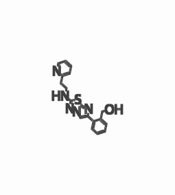 OCc1ccccc1-c1cn2nc(NCCc3ccccn3)sc2n1